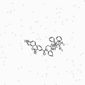 CC(C)(C)[Si](OCC1CCN(C(=O)c2ccc(-c3ccc4[nH]ccc4c3)c([N+](=O)[O-])c2)c2ccccc2N1)(c1ccccc1)c1ccccc1